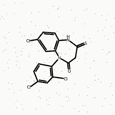 O=C1CC(=S)Nc2ccc(Cl)cc2N1c1ccc(Cl)cc1Cl